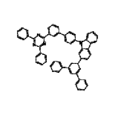 C1=C(c2ccccc2)C=C(c2ccccc2)CC1c1ccc2c3ccccc3n(-c3ccc(-c4cccc(-c5nc(-c6ccccc6)nc(-c6ccccc6)n5)c4)cc3)c2c1